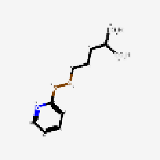 CCOC(=O)C(CCCSSc1ccccn1)C(=O)O